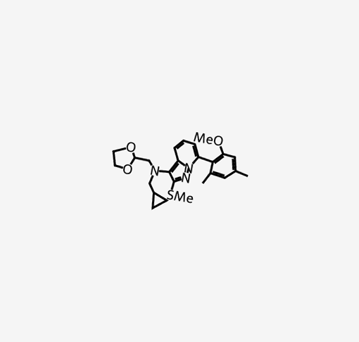 COc1cc(C)cc(C)c1-c1cccc2c(N(CC3CC3)CC3OCCO3)c(SC)nn12